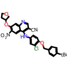 CC(C)(C)c1ccc(COc2ccc(Nc3c(C#N)cnc4cc(OC5CCOC5)c([N+](=O)[O-])cc34)cc2Cl)cc1